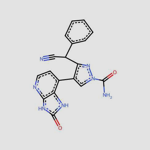 N#CC(c1ccccc1)c1nn(C(N)=O)cc1-c1ccnc2[nH]c(=O)[nH]c12